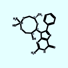 B[PH]1(O)OC[C@H](C)O[C@@H](n2c(-c3ccccc3)nc3c(=O)[nH]c(N)nc32)[C@@H](O)CO1